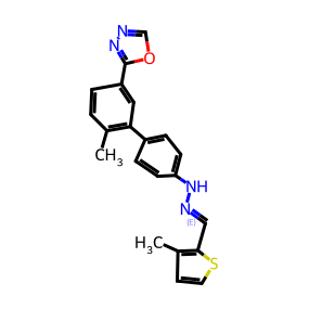 Cc1ccc(-c2nnco2)cc1-c1ccc(N/N=C/c2sccc2C)cc1